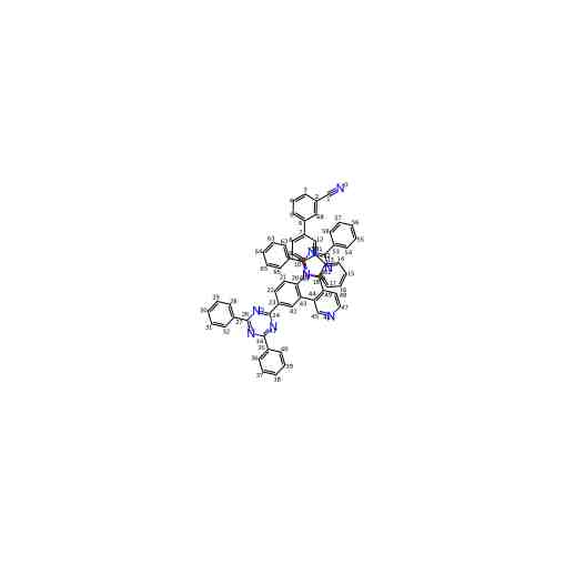 N#Cc1cccc(-c2ccc3c(c2)c2ccccc2n3-c2ccc(-c3nc(-c4ccccc4)nc(-c4ccccc4)n3)cc2-c2cnccc2-c2nc(-c3ccccc3)nc(-c3ccccc3)n2)c1